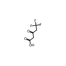 O=C(O)CC(=O)CC(F)(F)F